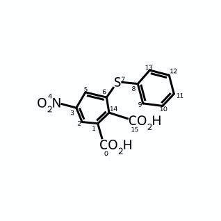 O=C(O)c1cc([N+](=O)[O-])cc(Sc2ccccc2)c1C(=O)O